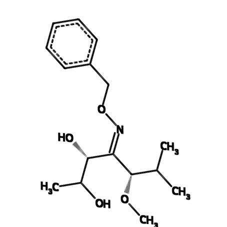 CO[C@H](/C(=N/OCc1ccccc1)[C@@H](O)C(C)O)C(C)C